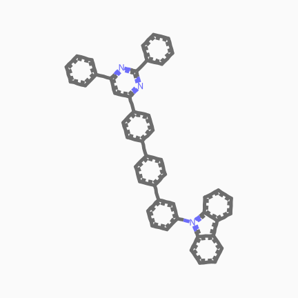 c1ccc(-c2cc(-c3ccc(-c4ccc(-c5cccc(-n6c7ccccc7c7ccccc76)c5)cc4)cc3)nc(-c3ccccc3)n2)cc1